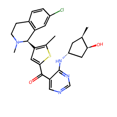 [CH2][C@@H]1C[C@@H](Nc2ncncc2C(=O)c2cc([C@@H]3c4cc(Cl)ccc4CCN3C)c(C)s2)C[C@@H]1O